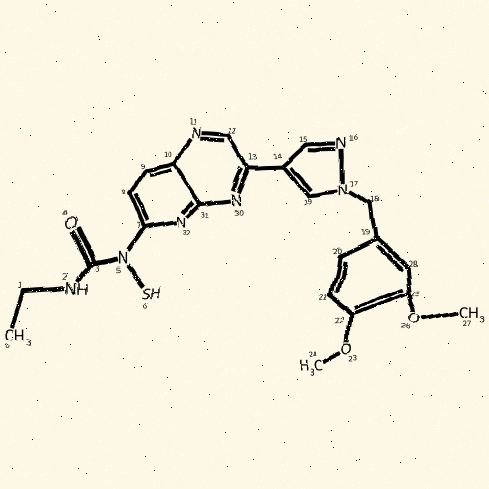 CCNC(=O)N(S)c1ccc2ncc(-c3cnn(Cc4ccc(OC)c(OC)c4)c3)nc2n1